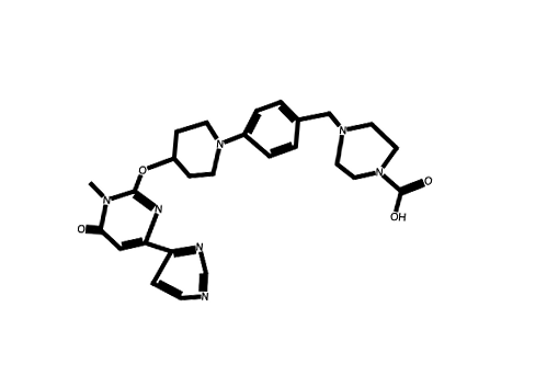 Cn1c(OC2CCN(c3ccc(CN4CCN(C(=O)O)CC4)cc3)CC2)nc(-c2ccncn2)cc1=O